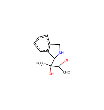 O=CC(O)C(O)(C(=O)O)C1NCc2ccccc21